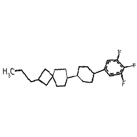 CCCC1CC2(CCC(C3CCC(c4cc(F)c(F)c(F)c4)CC3)CC2)C1